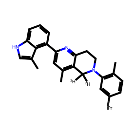 [2H]C1([2H])c2c(C)cc(-c3cccc4[nH]cc(C)c34)nc2CCN1c1cc(C(C)C)ccc1C